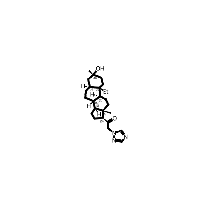 CC[C@]12CC[C@@](C)(O)C[C@@H]1CC[C@H]1[C@@H]3CC[C@H](C(=O)Cn4cncn4)[C@@]3(C)CC[C@@H]12